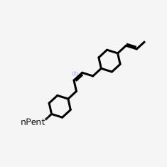 CC=CC1CCC(C/C=C\CC2CCC(CCCCC)CC2)CC1